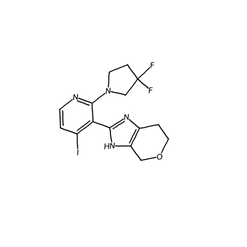 FC1(F)CCN(c2nccc(I)c2-c2nc3c([nH]2)COCC3)C1